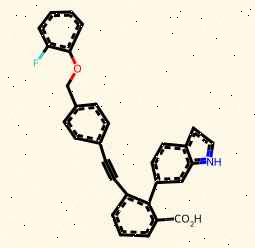 O=C(O)c1cccc(C#Cc2ccc(COc3ccccc3F)cc2)c1-c1ccc2cc[nH]c2c1